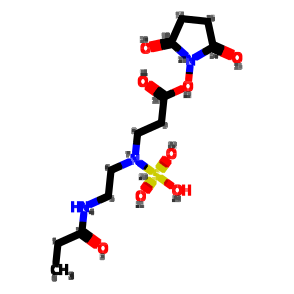 CCC(=O)NCCN(CCC(=O)ON1C(=O)CCC1=O)S(=O)(=O)O